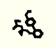 COC(=O)CC1(CSc2ccncc2-c2ccc(CO)cc2)CC1